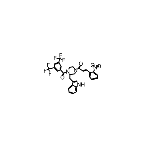 O=C(C=Cc1ccccc1[N+](=O)[O-])N1CCN(C(=O)c2cc(C(F)(F)F)cc(C(F)(F)F)c2)C(Cc2c[nH]c3ccccc23)C1